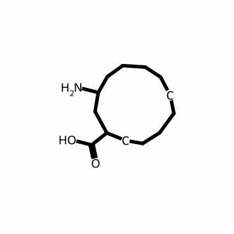 NC1CCCCCCCCCC(C(=O)O)C1